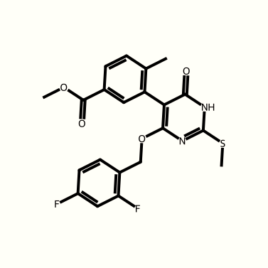 COC(=O)c1ccc(C)c(-c2c(OCc3ccc(F)cc3F)nc(SC)[nH]c2=O)c1